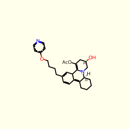 CC(=O)OC1=C2C3C=C(CCCCOc4ccncc4)C=CC3=C3CCCC[C@@H]3N2C[C@H](O)C1